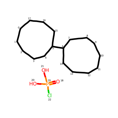 C1CCCCC(C2CCCCCCCC2)CCC1.O=P(O)(O)Cl